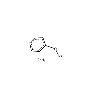 CCCCOc1cc[c]cc1.[CaH2]